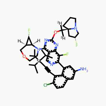 [2H]C([2H])(Oc1nc(N2CCOC[C@H]3[C@H](F)[C@H]32)c2cnc(-c3cc(N)cc4ccc(Cl)c(C#C[Si](C(C)C)(C(C)C)C(C)C)c34)c(F)c2n1)[C@@]12CCCN1C[C@H](F)C2